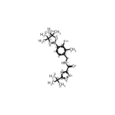 Cc1c(CNC(=O)c2noc(C(C)(C)C)n2)ccc(B2OC(C)(C)C(C)(C)O2)c1F